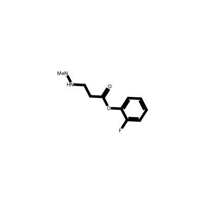 CNNCCC(=O)Oc1ccccc1F